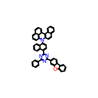 c1ccc(-c2nc(-c3ccc4c(c3)oc3ccccc34)nc(-c3ccc(N4c5ccc6ccccc6c5-c5cccc6cccc4c56)c4ccccc34)n2)cc1